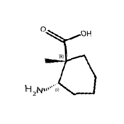 C[C@@]1(C(=O)O)CCCC[C@@H]1N